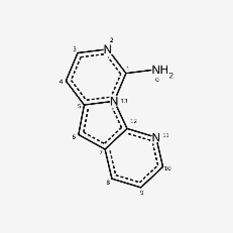 Nc1nccc2cc3cccnc3n12